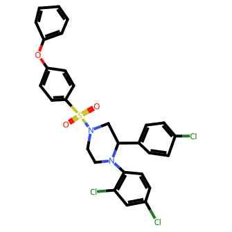 O=S(=O)(c1ccc(Oc2ccccc2)cc1)N1CCN(c2ccc(Cl)cc2Cl)C(c2ccc(Cl)cc2)C1